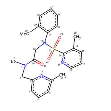 CCN(Cc1cccc(C)n1)C(=O)CN(c1ccccc1OC)S(=O)(=O)c1ncccc1C